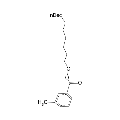 [CH2]CCCCCCCCCCCCCCCOOC(=O)c1cccc(C)c1